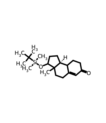 CC12CCC3=CC(=O)CCC3[C@@H]1CCC2O[Si](C)(C)C(C)(C)C